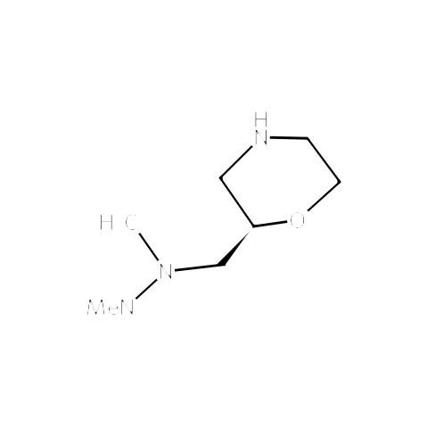 CNN(C)C[C@H]1CNCCO1